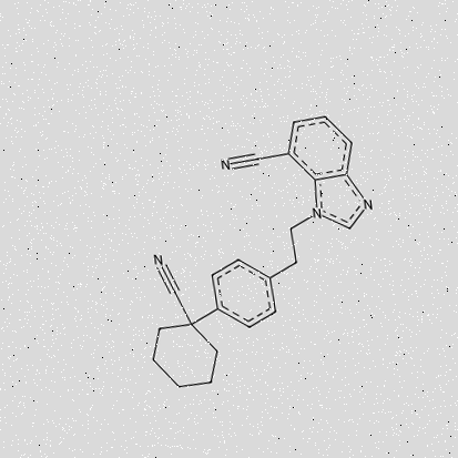 N#Cc1cccc2ncn(CCc3ccc(C4(C#N)CCCCC4)cc3)c12